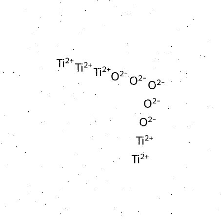 [O-2].[O-2].[O-2].[O-2].[O-2].[Ti+2].[Ti+2].[Ti+2].[Ti+2].[Ti+2]